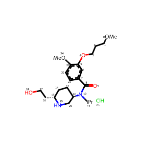 COCCCOc1cc(C(=O)N(C(C)C)[C@@H]2CC[C@@H](CCO)NC2)ccc1OC.Cl